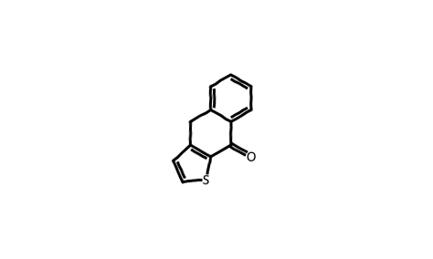 O=C1c2ccccc2Cc2ccsc21